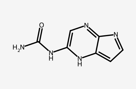 NC(=O)Nc1cnc2nccc-2[nH]1